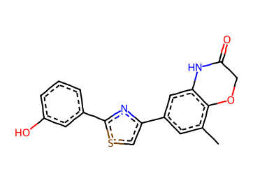 Cc1cc(-c2csc(-c3cccc(O)c3)n2)cc2c1OCC(=O)N2